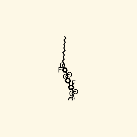 CCCCCCCCCCCCCCOc1ccc(C(=O)Oc2ccc(-c3ccc(C(=O)OC[C@@H](C)CC)cc3F)cc2)cc1F